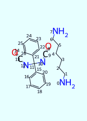 NCCCCCCN.O=C=NC(N=C=O)(c1ccccc1)c1ccccc1